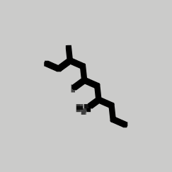 CCCC(N)CC(I)CC(C)CC